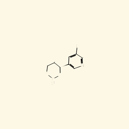 O=[PH]1OCC[C@@H](c2cncc(Br)c2)O1